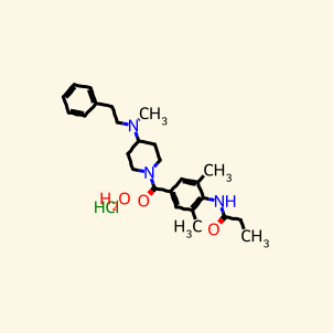 CCC(=O)Nc1c(C)cc(C(=O)N2CCC(N(C)CCc3ccccc3)CC2)cc1C.Cl.O